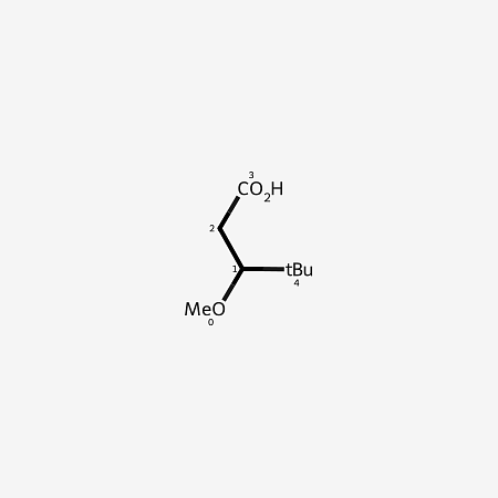 COC(CC(=O)O)C(C)(C)C